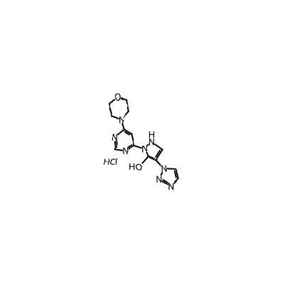 Cl.OC1C(n2ccnn2)=CNN1c1cc(N2CCOCC2)ncn1